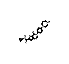 CN1CCCN(c2ccc(-n3cnc4cc(C(=O)NC5CC5)sc4c3=O)cc2)CC1